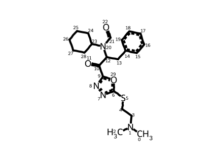 CN(C)CCSc1nnc(C(=O)C(Cc2ccccc2)N(C=O)C2CCCCC2)o1